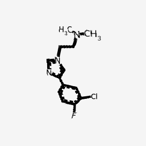 CN(C)CCn1cnc(-c2ccc(F)c(Cl)c2)c1